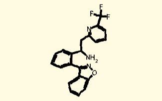 NC(Cc1cccc(C(F)(F)F)n1)c1ccccc1-c1noc2ccccc12